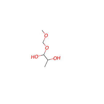 COCOC(O)C(C)O